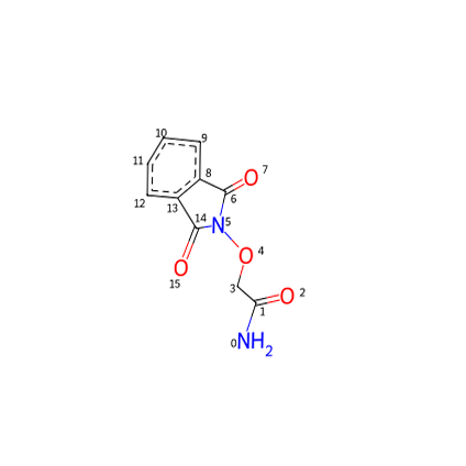 NC(=O)CON1C(=O)c2ccccc2C1=O